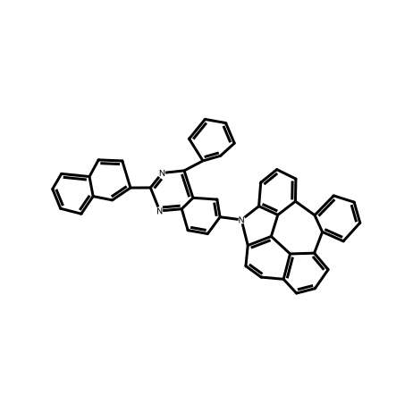 c1ccc(-c2nc(-c3ccc4ccccc4c3)nc3ccc(-n4c5cccc6c5c5c7c(cccc7ccc54)-c4ccccc4-6)cc23)cc1